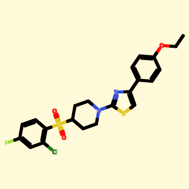 CCOc1ccc(-c2csc(N3CCC(S(=O)(=O)c4ccc(F)cc4Cl)CC3)n2)cc1